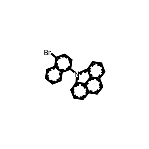 Brc1ccc(-n2c3cccc4ccc5cccc2c5c43)c2ccccc12